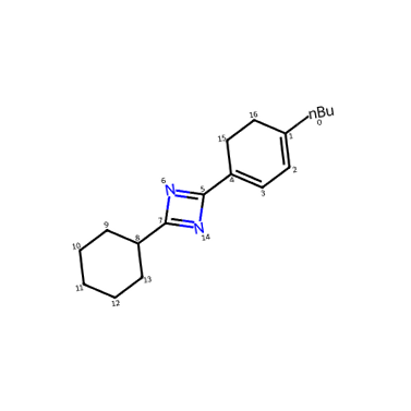 CCCCC1=CC=C(C2=NC(C3CCCCC3)=N2)CC1